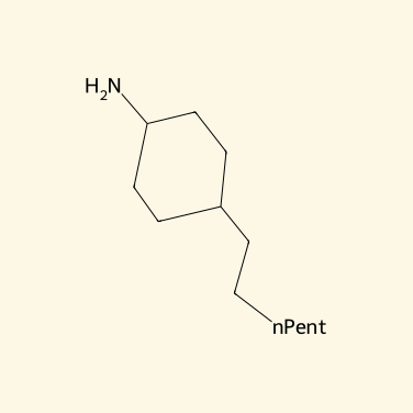 CCCCCCCC1CCC(N)CC1